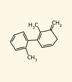 C=C1CC=CC(c2ccccc2C)=C1C